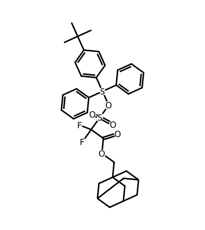 CC(C)(C)c1ccc(S(OS(=O)(=O)C(F)(F)C(=O)OCC23CC4CC(CC(C4)C2)C3)(c2ccccc2)c2ccccc2)cc1